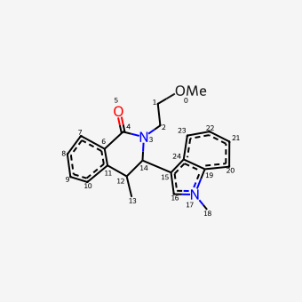 COCCN1C(=O)c2ccccc2C(C)C1c1cn(C)c2ccccc12